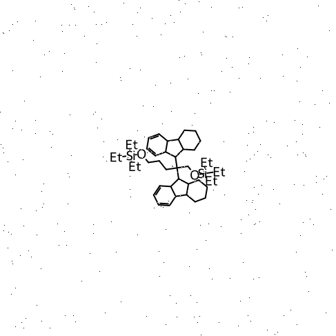 CC[Si](CC)(CC)OCCCC(CO[Si](CC)(CC)CC)(C1C2C=CC=CC2C2CCCCC21)C1C2C=CC=CC2C2CCCCC21